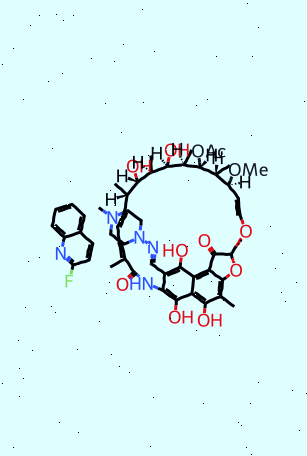 CO[C@H]1/C=C/O[C@@]2(C)Oc3c(C)c(O)c4c(O)c(c(/C=N/N5CCN(C)CC5)c(O)c4c3C2=O)NC(=O)/C(C)=C\C=C\[C@H](C)[C@H](O)[C@@H](C)[C@@H](O)[C@@H](C)[C@H](OC(C)=O)[C@@H]1C.Fc1ccc2ccccc2n1